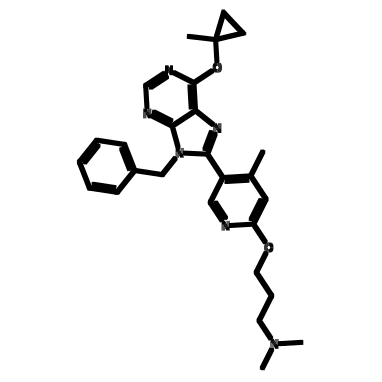 Cc1cc(OCCCN(C)C)ncc1-c1nc2c(OC3(C)CC3)ncnc2n1Cc1ccccc1